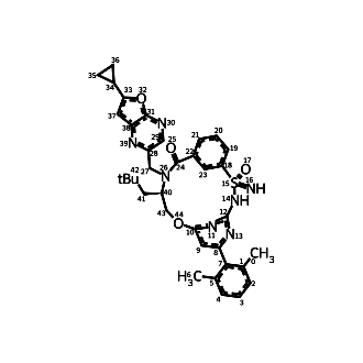 Cc1cccc(C)c1-c1cc2nc(n1)NS(=N)(=O)c1cccc(c1)C(=O)N(Cc1cnc3oc(C4CC4)cc3n1)[C@H](CC(C)(C)C)CO2